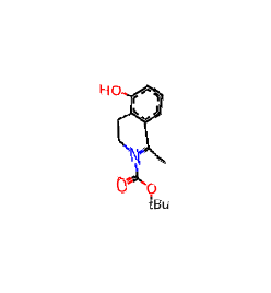 CC1c2cccc(O)c2CCN1C(=O)OC(C)(C)C